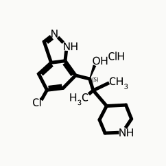 CC(C)(C1CCNCC1)[C@H](O)c1cc(Cl)cc2cn[nH]c12.Cl